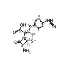 N#CNc1ccc(SC2=C(C(=O)O)N3C(=O)[C@@H](N)[C@@H]3SC2)cc1